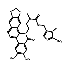 COc1cc2c(=O)n(CCN(C)C(=O)OCc3cnc([N+](=O)[O-])n3C)c3c4cc5c(cc4ncc3c2cc1OC)OCO5